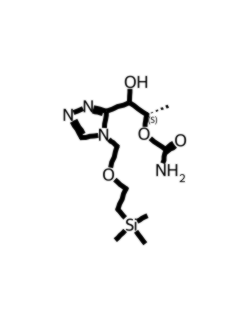 C[C@H](OC(N)=O)C(O)c1nncn1COCC[Si](C)(C)C